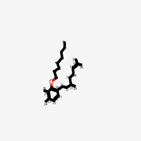 CCCCCCCCOc1c(CCC(C)CCC=C(C)C)ccc(C)c1C